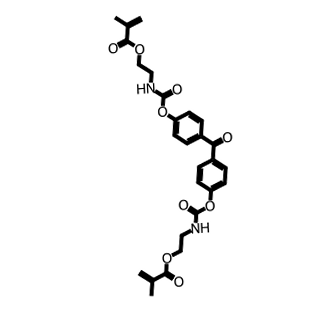 C=C(C)C(=O)OCCNC(=O)Oc1ccc(C(=O)c2ccc(OC(=O)NCCOC(=O)C(=C)C)cc2)cc1